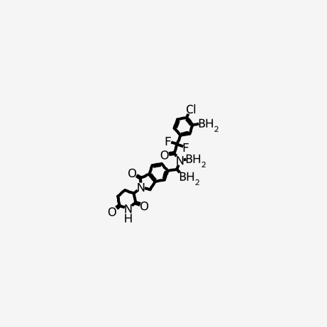 Bc1cc(C(F)(F)C(=O)N(B)C(B)c2ccc3c(c2)CN(C2CCC(=O)NC2=O)C3=O)ccc1Cl